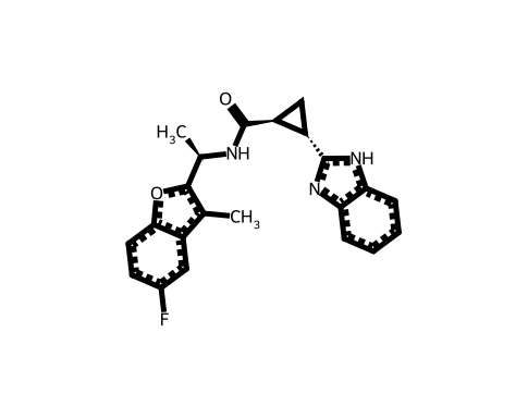 Cc1c([C@@H](C)NC(=O)[C@H]2C[C@@H]2c2nc3ccccc3[nH]2)oc2ccc(F)cc12